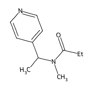 CCC(=O)N(C)C(C)c1ccncc1